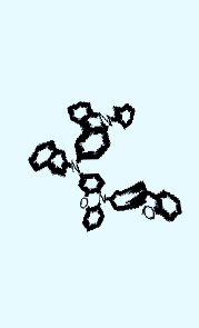 c1ccc(-n2c3ccccc3c3cc(N(c4ccc5c(c4)Oc4ccccc4N5c4ccc5c(c4)oc4ccccc45)c4ccc5ccccc5c4)ccc32)cc1